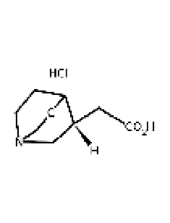 Cl.O=C(O)C[C@@H]1CN2CCC1CC2